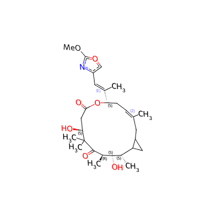 COc1nc(/C=C(\C)[C@@H]2C/C=C(/C)CC3CC3[C@H](C)[C@H](O)[C@@H](C)C(=O)C(C)(C)[C@@H](O)CC(=O)O2)co1